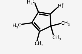 CC1=C(C)C(C)(C)[C]([Hf])=C1C